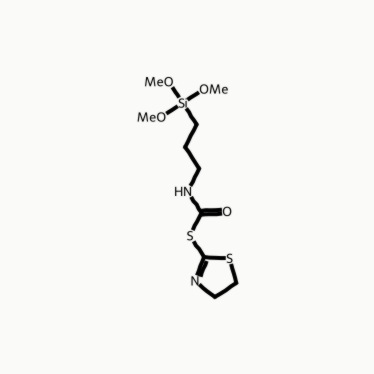 CO[Si](CCCNC(=O)SC1=NCCS1)(OC)OC